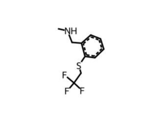 CNCc1ccccc1SCC(F)(F)F